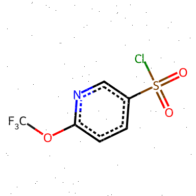 O=S(=O)(Cl)c1ccc(OC(F)(F)F)nc1